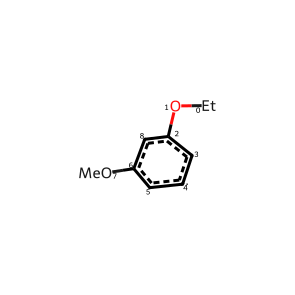 CCOc1c[c]cc(OC)c1